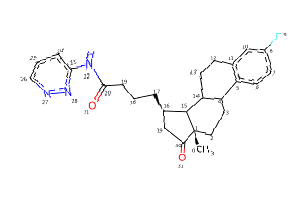 C[C@]12CCC3c4ccc(F)cc4CCC3C1[C@H](CCCC(=O)Nc1cccnn1)CC2=O